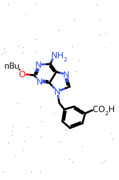 CCCCOc1nc(N)c2ncn(Cc3cccc(C(=O)O)c3)c2n1